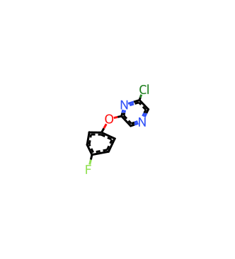 Fc1ccc(Oc2cncc(Cl)n2)cc1